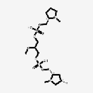 COC(COP(=O)(O)OC[C@H]1CCCN1C)COP(=O)(O)OC[C@@H]1C[C@H](I)CN1C